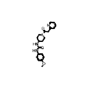 COc1ccc(NC(=O)NC2CCN(C(=O)Cc3ccccn3)CC2)cc1